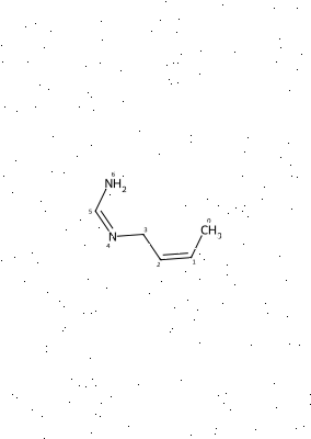 C/C=C\C/N=C\N